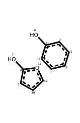 Oc1ccccc1.Oc1ccco1